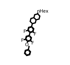 CCCCCCC1CCC2CC(c3cc(F)c(-c4cc(F)c(OCc5ccccc5)c(F)c4)c(F)c3)CCC2C1